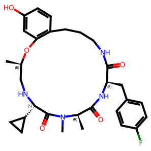 C[C@@H]1CN[C@@H](C2CC2)C(=O)N(C)[C@H](C)C(=O)N[C@H](Cc2ccc(F)cc2)C(=O)NCCCc2ccc(O)cc2O1